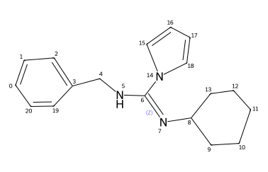 c1ccc(CN/C(=N/C2CCCCC2)n2cccc2)cc1